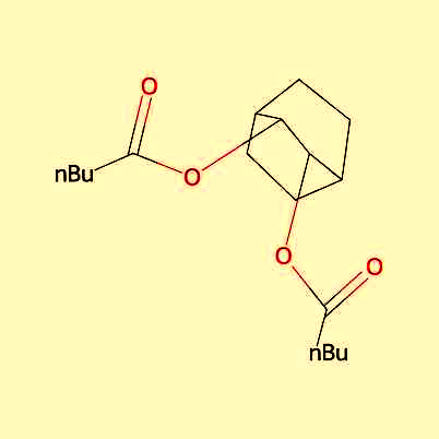 CCCCC(=O)OC1C2CCC(CC2)C1OC(=O)CCCC